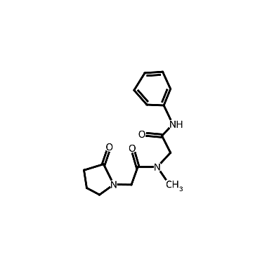 CN(CC(=O)Nc1ccccc1)C(=O)CN1CCCC1=O